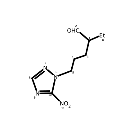 CCC(C=O)CCCn1ncnc1[N+](=O)[O-]